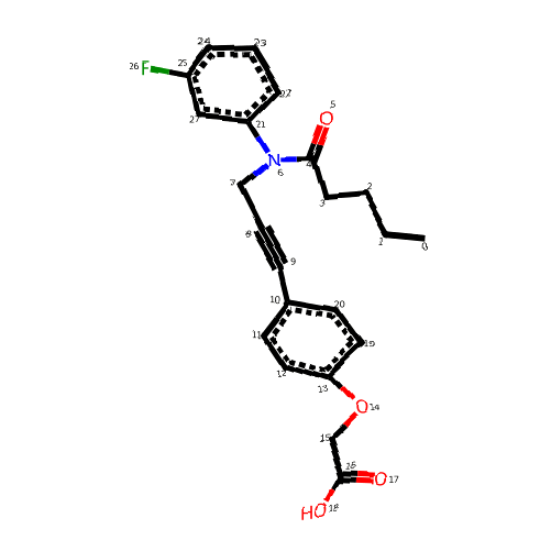 CCCCC(=O)N(CC#Cc1ccc(OCC(=O)O)cc1)c1cccc(F)c1